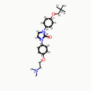 CN(C)CCOc1ccc(-n2ccn(-c3ccc(OCC(C)(C)C)cc3)c2=O)cc1